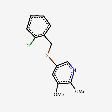 COc1cc(SCc2ccccc2Cl)cnc1OC